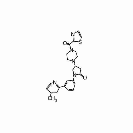 Cc1ccnc(-c2cccc(N3CC(N4CCN(C(=O)c5nccs5)CC4)CC3=O)c2)c1